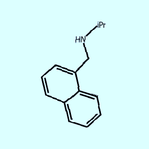 CC(C)NCc1cccc2ccccc12